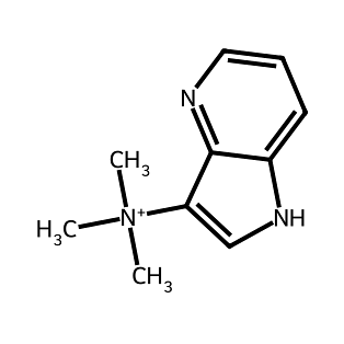 C[N+](C)(C)c1c[nH]c2cccnc12